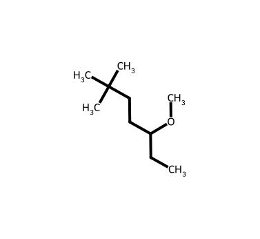 CCC(CCC(C)(C)C)OC